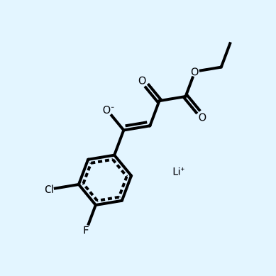 CCOC(=O)C(=O)C=C([O-])c1ccc(F)c(Cl)c1.[Li+]